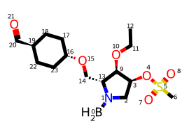 BN1C[C@H](OS(C)(=O)=O)[C@H](OCC)[C@H]1CO[C@H]1CC[C@H](C=O)CC1